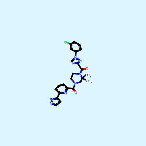 CC1(C)CN(C(=O)c2cccc(-c3ccn[nH]3)n2)CCN1C(=O)c1ncn(-c2cccc(Cl)c2)n1